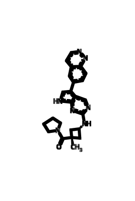 C[C@]1(C(=O)N2CCCC2)C[C@@H](Nc2ncc3c(-c4ccc5nnccc5c4)c[nH]c3n2)C1